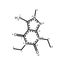 CCn1c(=O)c2c(N)n(C)nc2n(CC)c1=O